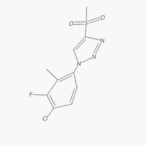 Cc1c(-n2cc(S(C)(=O)=O)nn2)ccc(Cl)c1F